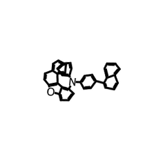 c1ccc(N(c2ccc(-c3cccc4ccccc34)cc2)c2cccc3oc4ccc5ccccc5c4c23)cc1